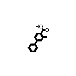 Cc1cc(-c2c[c]ccc2)ccc1C(=O)O